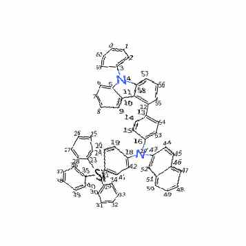 c1ccc(-n2c3ccccc3c3c(-c4ccc(N(c5ccc([Si](c6ccccc6)(c6ccccc6)c6ccccc6)cc5)c5ccc6ccccc6c5)cc4)cccc32)cc1